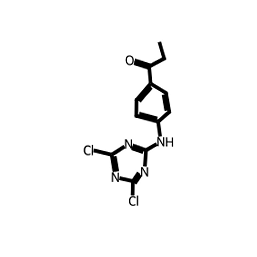 CCC(=O)c1ccc(Nc2nc(Cl)nc(Cl)n2)cc1